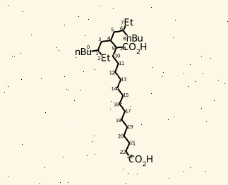 CCCCC(CC)CC(CC(CC)CCCC)C(CCCCCCCCCCCCCC(=O)O)C(=O)O